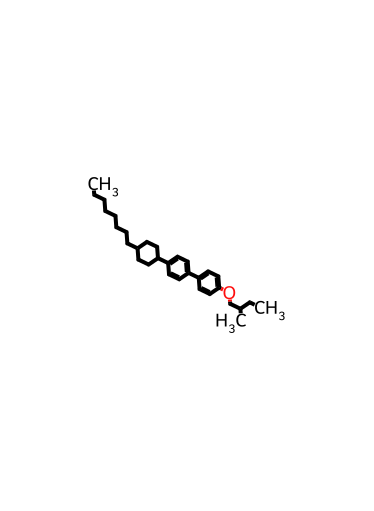 CCCCCCCCC1CCC(c2ccc(-c3ccc(OCC(C)CC)cc3)cc2)CC1